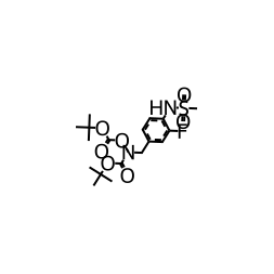 CC(C)(C)OC(=O)ON(Cc1ccc(NS(C)(=O)=O)c(F)c1)C(=O)OC(C)(C)C